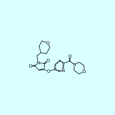 O=C(c1ccc(OC2=CC(=O)N(CC3CCOCC3)C2=O)cn1)N1CCOCC1